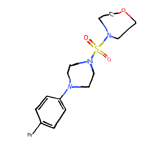 CC(C)c1ccc(N2CCN(S(=O)(=O)N3CCOCC3)CC2)cc1